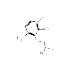 C[C@@H](Br)COc1c(N)ccc(F)c1Cl